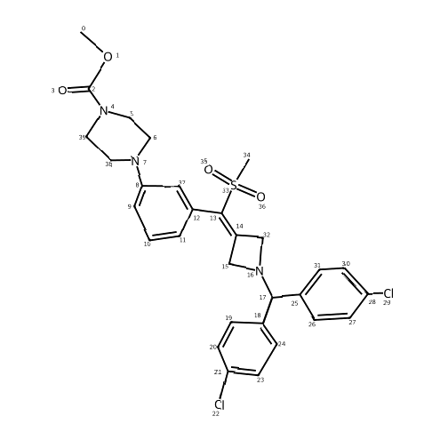 COC(=O)N1CCN(c2cccc(C(=C3CN(C(c4ccc(Cl)cc4)c4ccc(Cl)cc4)C3)S(C)(=O)=O)c2)CC1